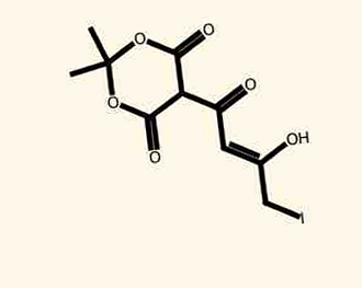 CC1(C)OC(=O)C(C(=O)/C=C(\O)CI)C(=O)O1